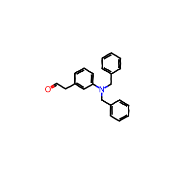 O=CCc1cccc(N(Cc2ccccc2)Cc2ccccc2)c1